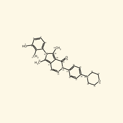 Cc1c(O)cccc1-n1c(C)c2cnn(-c3ccc(N4CCOCC4)cc3)c(=O)c2c1C